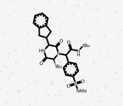 CC[C@H](C)C1C(=O)NC(C2Cc3ccccc3C2)C(=O)N1C(C(=O)NC(C)(C)C)c1ccc(S(=O)(=O)NC)cc1